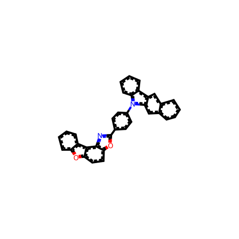 c1ccc2cc3c(cc2c1)c1ccccc1n3-c1ccc(-c2nc3c(ccc4oc5ccccc5c43)o2)cc1